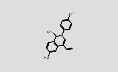 C=CC1=CN(c2ccc(O)cc2)C(C=O)c2ccc(O)cc21